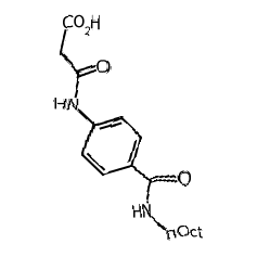 CCCCCCCCNC(=O)c1ccc(NC(=O)CC(=O)O)cc1